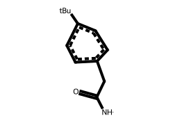 CC(C)(C)c1ccc(CC([NH])=O)cc1